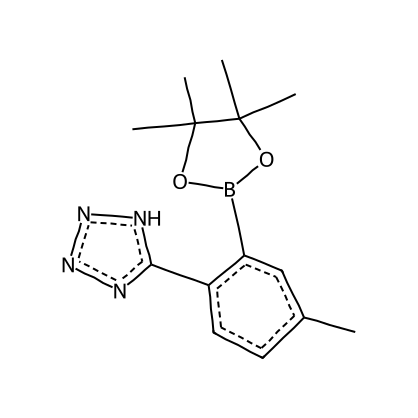 Cc1ccc(-c2nnn[nH]2)c(B2OC(C)(C)C(C)(C)O2)c1